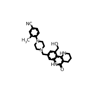 Cc1cc(C#N)ccc1N1CCN(Cc2cc(CO)c3c4c(c(=O)[nH]c3c2)CCCN4)CC1